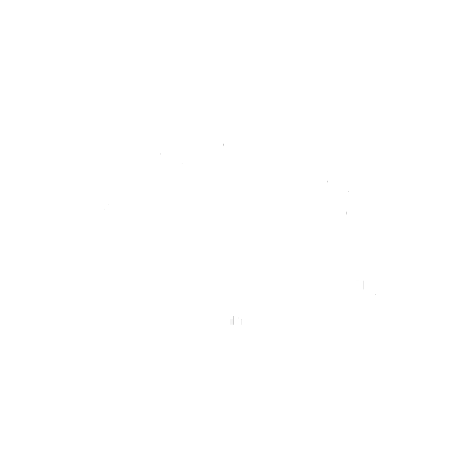 C=CCC(C)CC(CCC(C)C=C)=C(CC(C)C)CC(C)C=C